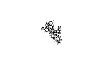 COc1ccc(C2(c3ccc(F)cc3)C=Cc3c4c(c5ccc(F)cc5c3O2)-c2ccc(F)cc2C4(C)C)cc1OC